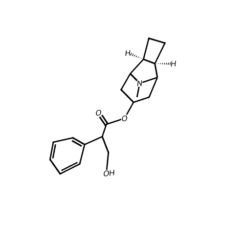 CN1C2CC(OC(=O)C(CO)c3ccccc3)CC1[C@@H]1CC[C@H]21